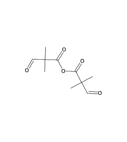 CC(C)(C=O)C(=O)OC(=O)C(C)(C)C=O